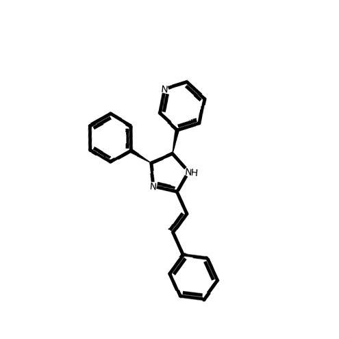 C(=Cc1ccccc1)C1=N[C@@H](c2ccccc2)[C@@H](c2cccnc2)N1